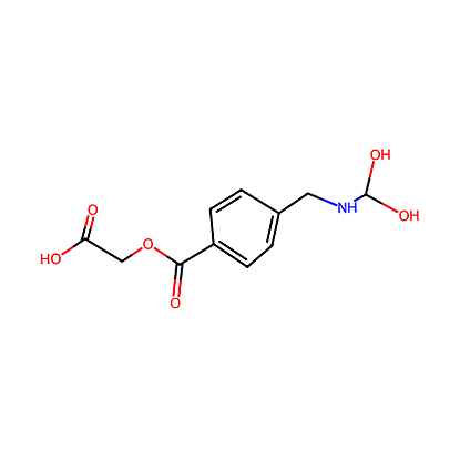 O=C(O)COC(=O)c1ccc(CNC(O)O)cc1